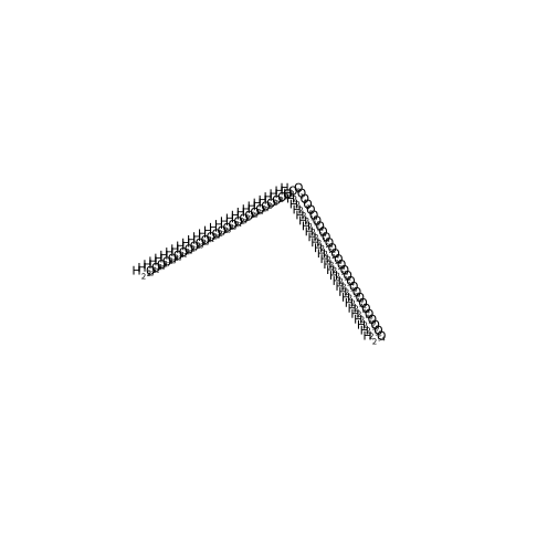 O.O.O.O.O.O.O.O.O.O.O.O.O.O.O.O.O.O.O.O.O.O.O.O.O.O.O.O.O.O.O.O.O.O.O.O.O.O.O.O.O.O.O.O.O.O.O.O.O.O.O.O.O.O.O